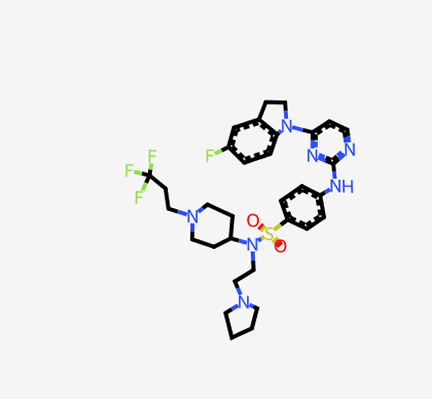 O=S(=O)(c1ccc(Nc2nccc(N3CCc4cc(F)ccc43)n2)cc1)N(CCN1CCCC1)C1CCN(CCC(F)(F)F)CC1